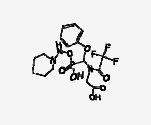 O=C(O)CN(C(=O)C(F)(F)F)C(Oc1ccccc1)P(=O)(O)ONN1CCCCC1